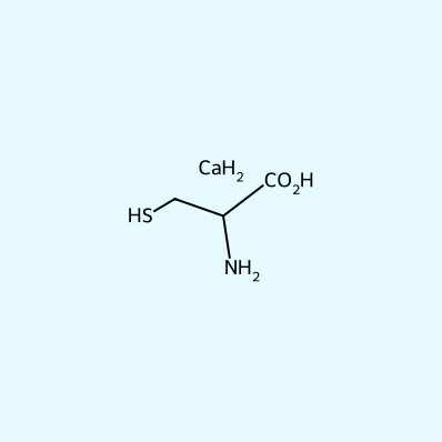 NC(CS)C(=O)O.[CaH2]